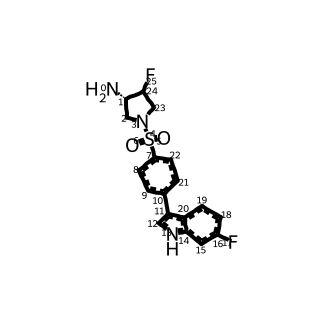 N[C@H]1CN(S(=O)(=O)c2ccc(-c3c[nH]c4cc(F)ccc34)cc2)CC1F